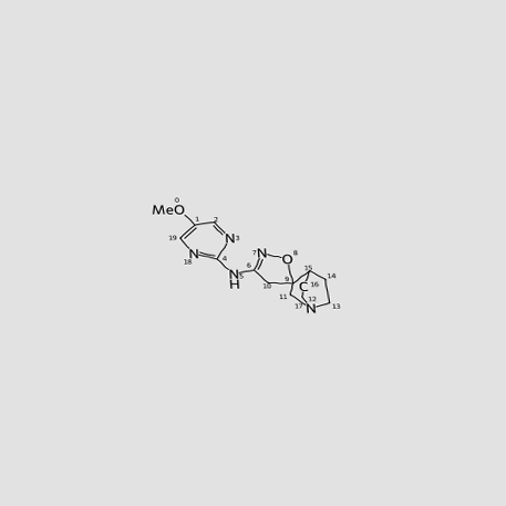 COc1cnc(NC2=NOC3(C2)CN2CCC3CC2)nc1